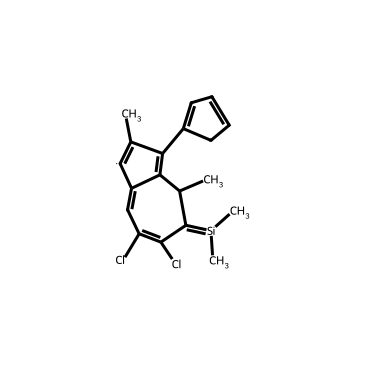 CC1=[C]C2=CC(Cl)=C(Cl)C(=[Si](C)C)C(C)C2=C1C1=CC=CC1